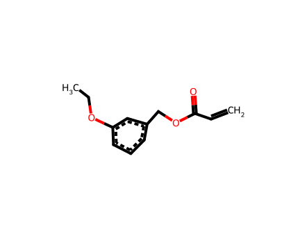 C=CC(=O)OCc1cccc(OCC)c1